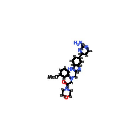 COc1cccc(N(CC(=O)N2CCOCC2)Cc2nc3cc(-c4ccnc(N)n4)ccc3[nH]2)c1